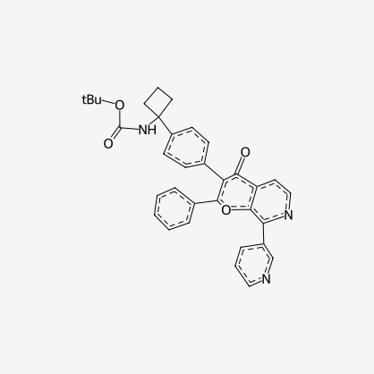 CC(C)(C)OC(=O)NC1(c2ccc(-c3c(-c4ccccc4)oc4c(-c5cccnc5)nccc4c3=O)cc2)CCC1